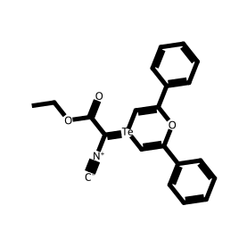 [C-]#[N+]C(C(=O)OCC)=[Te]1C=C(c2ccccc2)OC(c2ccccc2)=C1